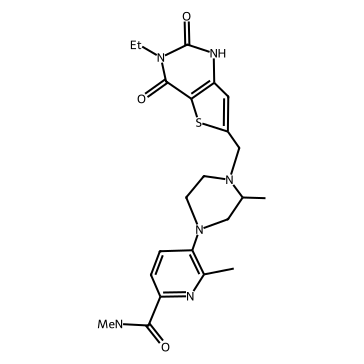 CCn1c(=O)[nH]c2cc(CN3CCN(c4ccc(C(=O)NC)nc4C)CC3C)sc2c1=O